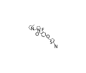 CC1CCCN1CC1CCCN1C(=O)c1ccc(OCC2CC=C(C#N)S2)cc1F